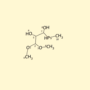 COC(OC)C(O)C(O)PC